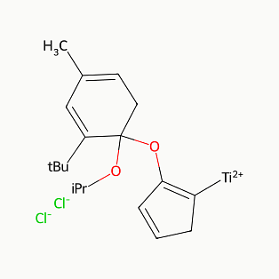 CC1=CCC(OC2=[C]([Ti+2])CC=C2)(OC(C)C)C(C(C)(C)C)=C1.[Cl-].[Cl-]